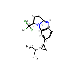 CC(C)[C@H]1C[C@@H]1c1ccc2nc3n(c2c1)C(C(F)(F)F)CC3